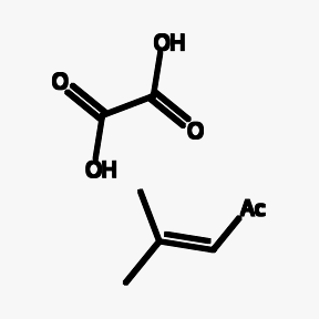 CC(=O)C=C(C)C.O=C(O)C(=O)O